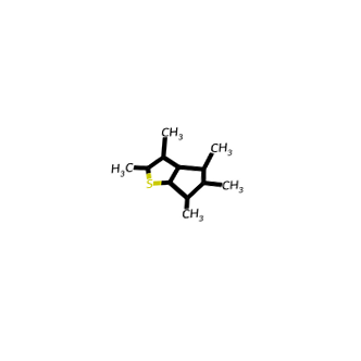 CC1SC2C(C)C(C)C(C)C2C1C